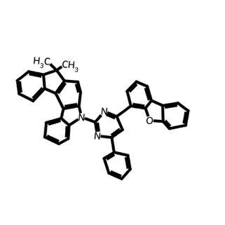 CC1(C)c2ccccc2-c2c1ccc1c2c2ccccc2n1-c1nc(-c2ccccc2)cc(-c2cccc3c2oc2ccccc23)n1